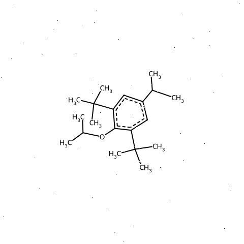 CC(C)Oc1c(C(C)(C)C)cc(C(C)C)cc1C(C)(C)C